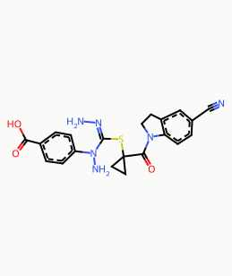 N#Cc1ccc2c(c1)CCN2C(=O)C1(S/C(=N/N)N(N)c2ccc(C(=O)O)cc2)CC1